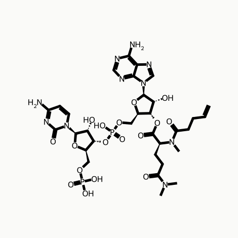 C=CCCC(=O)N(C)[C@@H](CCC(=O)N(C)C)C(=O)O[C@H]1[C@@H](O)[C@H](n2cnc3c(N)ncnc32)O[C@@H]1COP(=O)(O)O[C@H]1[C@@H](O)[C@H](n2ccc(N)nc2=O)O[C@@H]1COP(=O)(O)O